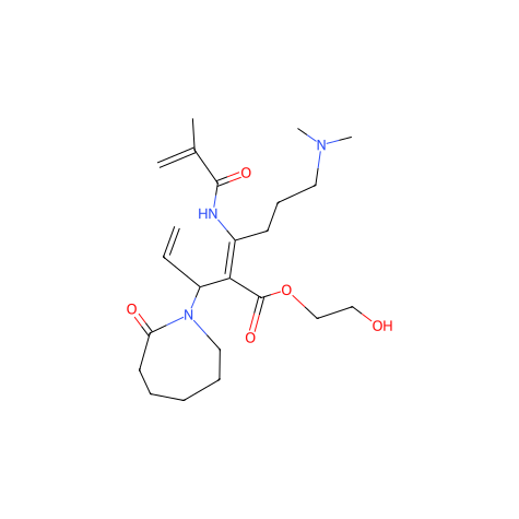 C=CC(C(C(=O)OCCO)=C(CCCN(C)C)NC(=O)C(=C)C)N1CCCCCC1=O